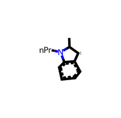 CCCN1c2ccccc2[C]C1C